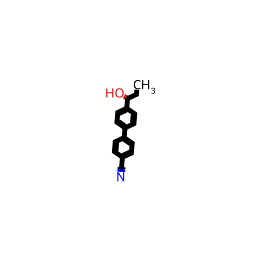 CCC(O)c1ccc(-c2ccc(C#N)cc2)cc1